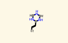 CCC=CB1NBNBN1